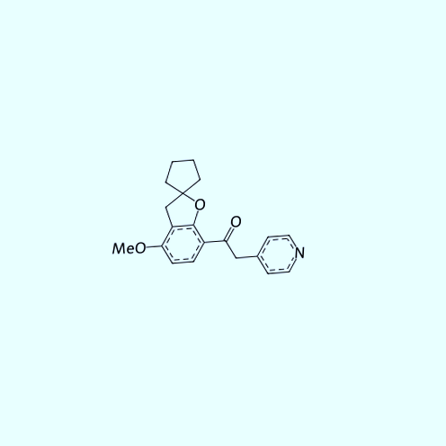 COc1ccc(C(=O)Cc2ccncc2)c2c1CC1(CCCC1)O2